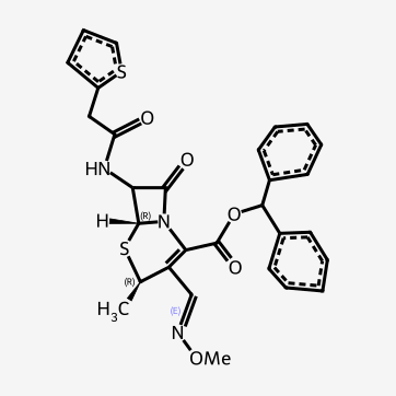 CO/N=C/C1=C(C(=O)OC(c2ccccc2)c2ccccc2)N2C(=O)C(NC(=O)Cc3cccs3)[C@H]2S[C@@H]1C